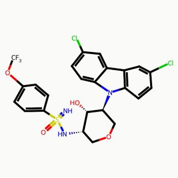 N=S(=O)(N[C@H]1COC[C@H](n2c3ccc(Cl)cc3c3cc(Cl)ccc32)[C@H]1O)c1ccc(OC(F)(F)F)cc1